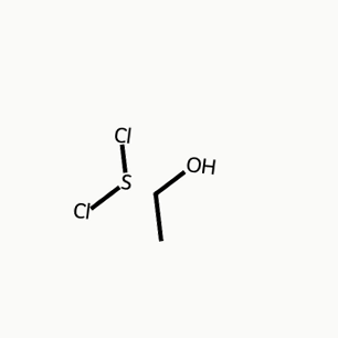 CCO.ClSCl